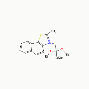 CCOC(C[n+]1c(C)sc2c3ccccc3ccc21)(OC)OCC